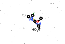 CC(C)(C)c1ccc(-c2nnc(Sc3ccc(CNc4ccc(CC(=O)O)cc4)c(OCCc4ccccc4)c3)n2-c2ccc(Cl)cc2)cc1